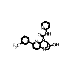 O=C(Nc1ccccn1)N1c2nc(-c3cccc(C(F)(F)F)c3)ccc2N2CC(O)C1C2